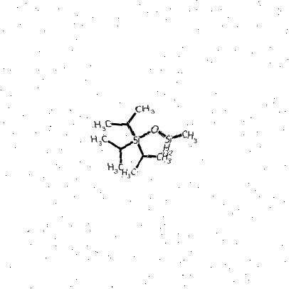 C[SiH2]O[Si](C(C)C)(C(C)C)C(C)C